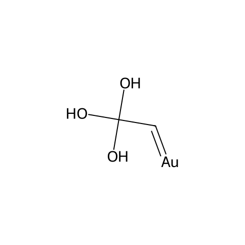 OC(O)(O)[CH]=[Au]